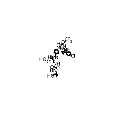 O=C(NCC[C@H](NC(=O)c1ccc(Nc2nc(NC3(c4ccc(Cl)cc4)CC3)nc(OCC(F)(F)F)n2)cc1)C(=O)O)C(=O)NCC1(CO)CC1